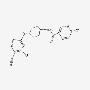 N#Cc1ccc(O[C@H]2CC[C@H](NC(=O)c3ccc(Cl)nc3)CC2)cc1Cl